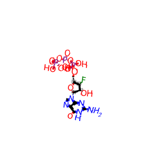 Nc1nc2c(ncn2[C@@H]2O[C@H](COP(=O)(O)OP(=O)(O)OP(=O)(O)O)[C@@H](F)[C@H]2O)c(=O)[nH]1